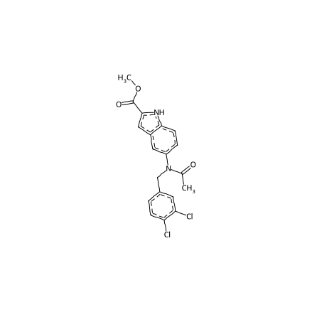 COC(=O)c1cc2cc(N(Cc3ccc(Cl)c(Cl)c3)C(C)=O)ccc2[nH]1